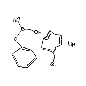 OB(O)Oc1ccccc1.[B]c1ccccc1.[LiH]